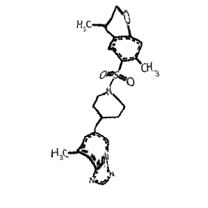 Cc1cc2c(cc1S(=O)(=O)N1CCC(c3cc(C)c4ncnn4c3)CC1)C(C)CO2